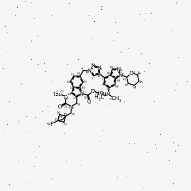 CN(C)c1cc(-c2cn(Cc3ccc4cc(CN(CC56CC(F)(C5)C6)C(=O)OC(C)(C)C)n(C(=O)OC(C)(C)C)c4c3)nn2)c2cnn(C3CCCCO3)c2c1